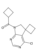 O=C(C1CCC1)N1CC2(CCC2)c2c(Cl)ncnc21